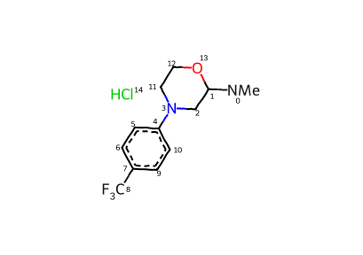 CNC1CN(c2ccc(C(F)(F)F)cc2)CCO1.Cl